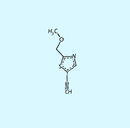 C#Cc1cnc(COC)s1